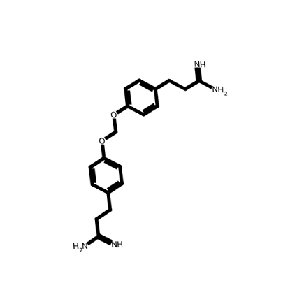 N=C(N)CCc1ccc(OCOc2ccc(CCC(=N)N)cc2)cc1